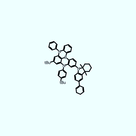 CC(C)(C)c1ccc(N2c3cc(N4c5ccc(C6=CCCC=C6)cc5C5(C)CCCCC45C)ccc3B3c4ccccc4N(c4ccccc4)c4cc(C(C)(C)C)cc2c43)cc1